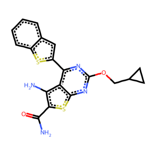 NC(=O)c1sc2nc(OCC3CC3)nc(-c3cc4ccccc4s3)c2c1N